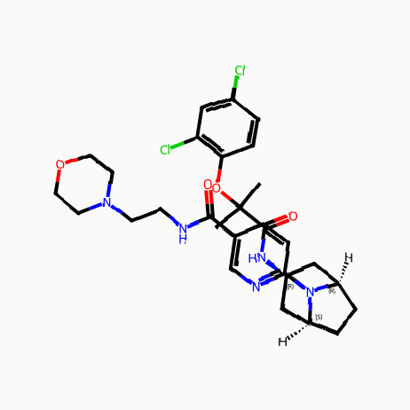 CC(C)(Oc1ccc(Cl)cc1Cl)C(=O)N[C@H]1C[C@H]2CC[C@@H](C1)N2c1ccc(C(=O)NCCN2CCOCC2)cn1